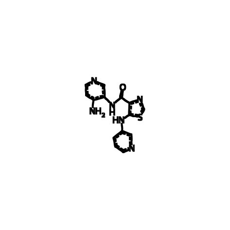 Nc1ccncc1NC(=O)c1ncsc1Nc1cccnc1